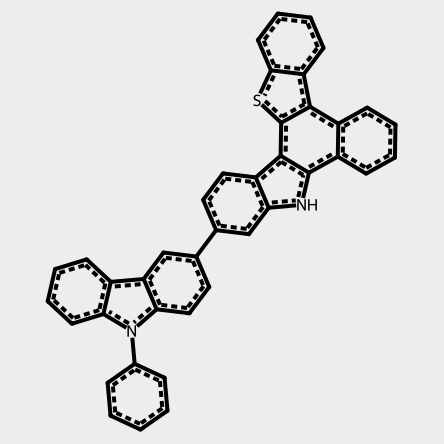 c1ccc(-n2c3ccccc3c3cc(-c4ccc5c(c4)[nH]c4c6ccccc6c6c7ccccc7sc6c54)ccc32)cc1